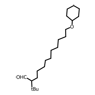 CC(C)(C)C([C]=O)CCCCCCCCCCOC1CC[CH]CC1